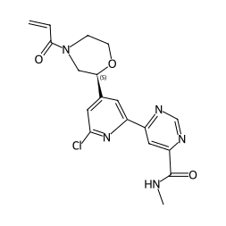 C=CC(=O)N1CCO[C@@H](c2cc(Cl)nc(-c3cc(C(=O)NC)ncn3)c2)C1